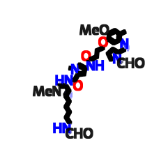 CN/C=C(\C=C\CCCCCNC=O)NC(=O)c1cc(NC(=O)CCCOc2cc(/N=C\C3CCCN3C=O)c(C)cc2OC)cn1C